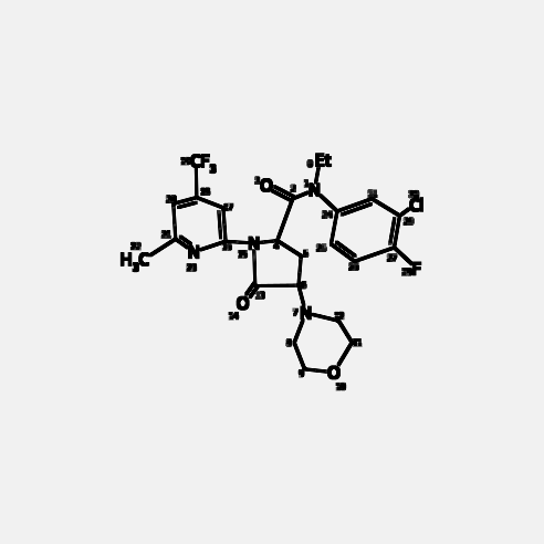 CCN(C(=O)C1CC(N2CCOCC2)C(=O)N1c1cc(C(F)(F)F)cc(C)n1)c1ccc(F)c(Cl)c1